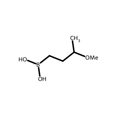 COC(C)CCB(O)O